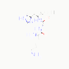 C[C@H](NC(=O)[C@@H](N)CCCCN)C(=O)N[C@@H](Cc1c[nH]cn1)C(=O)O